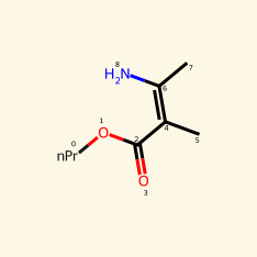 CCCOC(=O)C(C)=C(C)N